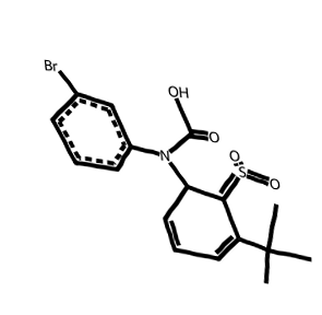 CC(C)(C)C1=CC=CC(N(C(=O)O)c2cccc(Br)c2)C1=S(=O)=O